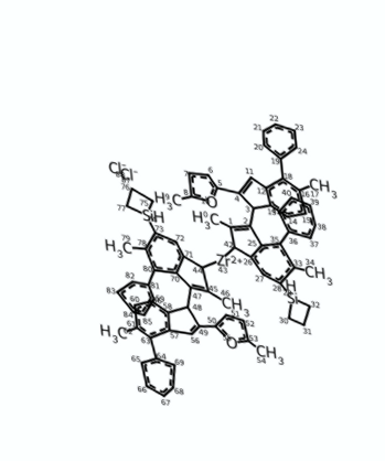 CC1=C(C2C(c3ccc(C)o3)=Cc3c2ccc(C)c3-c2ccccc2)c2c(cc([SiH]3CCC3)c(C)c2-c2ccccc2)[CH]1[Zr+2][CH]1C(C)=C(C2C(c3ccc(C)o3)=Cc3c2ccc(C)c3-c2ccccc2)c2c1cc([SiH]1CCC1)c(C)c2-c1ccccc1.[Cl-].[Cl-]